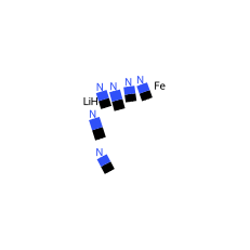 C#N.C#N.C#N.C#N.C#N.C#N.[Fe].[LiH]